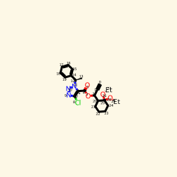 C#CC(OC(=O)c1c(Cl)nnn1[C@H](C)c1ccccc1)C1CCCCC1(OCC)OCC